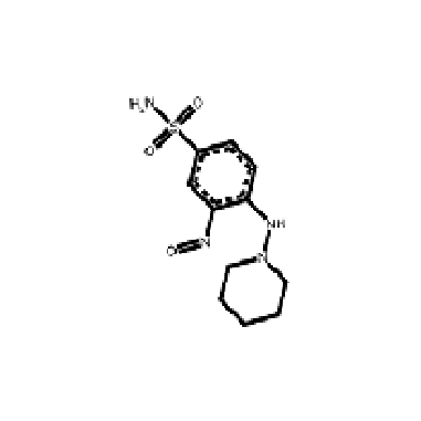 NS(=O)(=O)c1ccc(NN2CCCCC2)c(N=O)c1